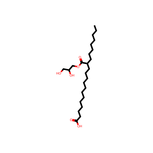 CCCCCCCCC(CCCCCCCCCCCC(=O)O)C(=O)OCC(O)CO